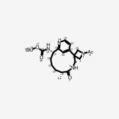 CC(=O)N1CC2(CNC(=O)[C@H](C)CCC[C@H](NC(=O)OC(C)(C)C)c3cc2ccn3)C1